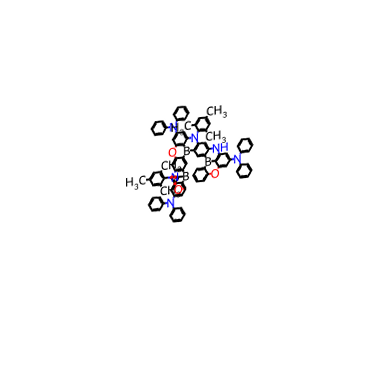 Cc1cc(C)c(N2c3cc4c(cc3B3c5cc6c(cc5Oc5cc(N(c7ccccc7)c7ccccc7)cc2c53)N(c2c(C)cc(C)cc2C)c2cc(N(c3ccccc3)c3ccccc3)cc3c2B6c2ccccc2O3)B2c3ccccc3Oc3cc(N(c5ccccc5)c5ccccc5)cc(c32)N4)c(C)c1